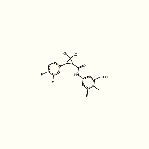 Cc1c(F)cc(NC(=O)C2[C@@H](c3ccc(F)c(Cl)c3)C2(Cl)Cl)cc1C(=O)O